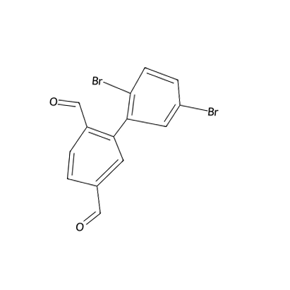 O=Cc1ccc(C=O)c(-c2cc(Br)ccc2Br)c1